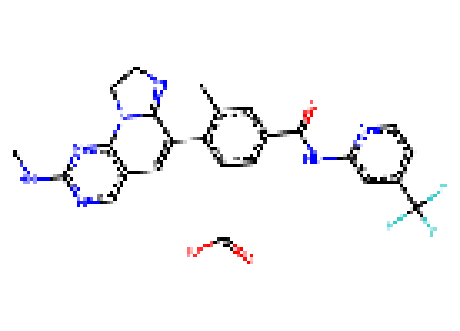 CNc1ncc2c(n1)N1CCN=C1C(c1ccc(C(=O)Nc3cc(C(F)(F)F)ccn3)cc1C)=C2.O=CO